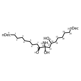 CCCCCCCCCCCCCCCCCC(=O)C(N)(O)CC(O)CCCCCCCCCCCCCCC